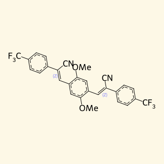 COc1cc(/C=C(\C#N)c2ccc(C(F)(F)F)cc2)c(OC)cc1/C=C(\C#N)c1ccc(C(F)(F)F)cc1